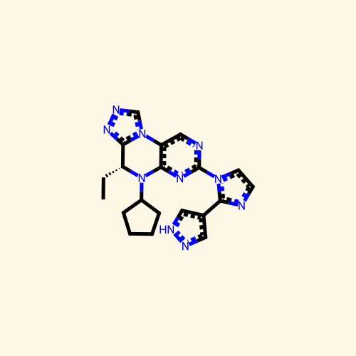 CC[C@@H]1c2nncn2-c2cnc(-n3ccnc3-c3cn[nH]c3)nc2N1C1CCCC1